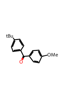 COc1ccc(C(=O)c2ccc(C(C)(C)C)cc2)cc1